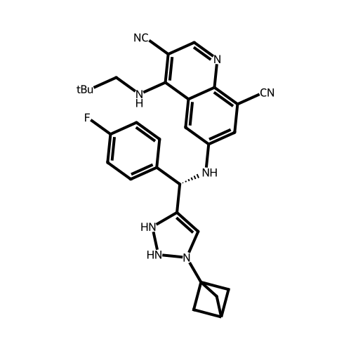 CC(C)(C)CNc1c(C#N)cnc2c(C#N)cc(N[C@H](C3=CN(C45CC(C4)C5)NN3)c3ccc(F)cc3)cc12